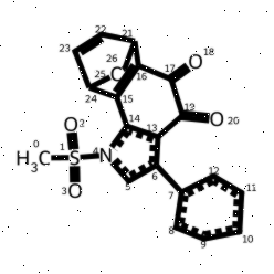 CS(=O)(=O)n1cc(-c2ccccc2)c2c1C1=C(C(=O)C2=O)C2C=CC1CC2